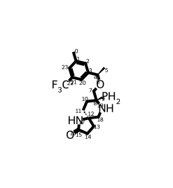 Cc1cc([C@@H](C)OC[C@@]2(P)CC[C@@]3(CCC(=O)N3)CN2)cc(C(F)(F)F)c1